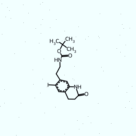 CC(C)(C)OC(=O)NCCc1cc2c(cc1I)CCC(=O)N2